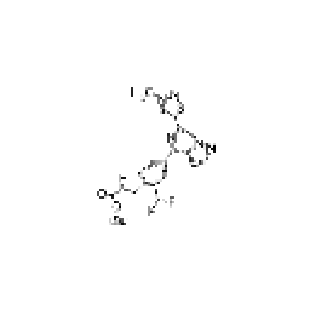 Cn1cc(-c2cn3nccc3c(-c3ccc(CNC(=O)OC(C)(C)C)c(C(F)F)c3)n2)cn1